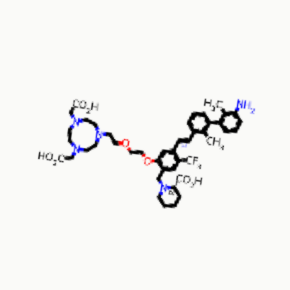 Cc1c(N)cccc1-c1cccc(/C=C/c2cc(OCCOCCN3CCN(CC(=O)O)CCN(CC(=O)O)CC3)c(CN3CCCC[C@H]3C(=O)O)cc2C(F)(F)F)c1C